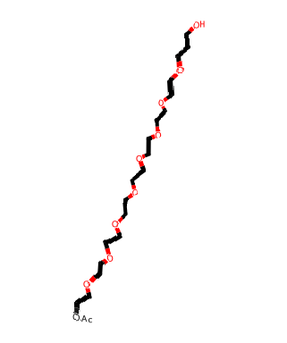 CC(=O)OCCOCCOCCOCCOCCOCCOCCOCCOCCCO